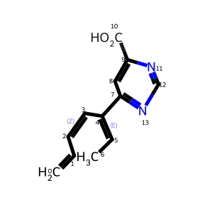 C=C/C=C\C(=C/C)c1cc(C(=O)O)ncn1